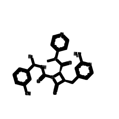 CCC(NC(=O)N1C(=O)[C@H](Cc2ccnc(N)c2)[C@H]1C(=O)N(C)c1ccncc1)c1cccc(C#N)c1